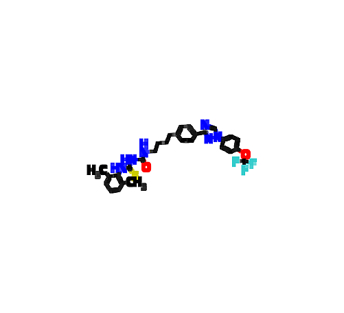 Cc1cccc(C)c1NC(=S)NC(=O)NCCCCc1ccc(-c2ncn(-c3ccc(OC(F)(F)F)cc3)n2)cc1